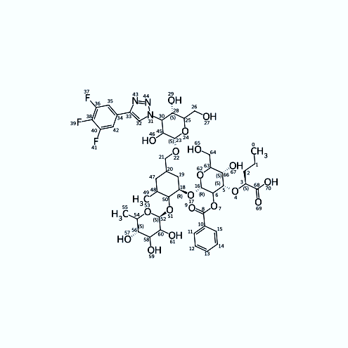 CCC[C@H](O[C@@H]1C(OC(=O)c2ccccc2)[C@H](O[C@@H]2CC(CO[C@H]3OC(CO)[C@@H](O)C(n4cc(-c5cc(F)c(F)c(F)c5)nn4)C3O)CC(C)C2O[C@@H]2OC(C)[C@@H](O)C(O)C2O)OC(CO)[C@@H]1O)C(=O)O